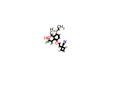 CCSc1ccc(OCCC2(C#N)CCC2)c(C(F)CF)c1C(C)O